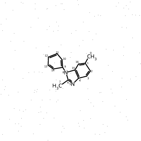 Cc1ccc2nc(C)n(-c3ccccc3)c2c1